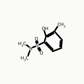 Cc1cccc(S(=O)(=O)N(C)C)c1O